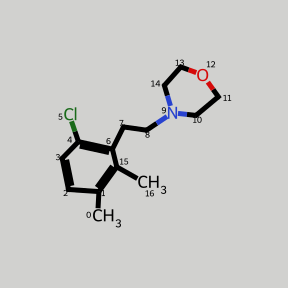 Cc1ccc(Cl)c(CCN2CCOCC2)c1C